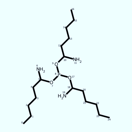 CCCCCC(N)OP(OC(N)CCCCC)OC(N)CCCCC